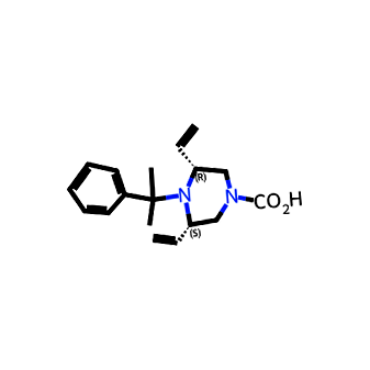 C=C[C@@H]1CN(C(=O)O)C[C@H](C=C)N1C(C)(C)c1ccccc1